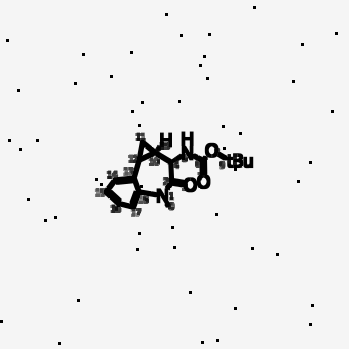 CN1C(=O)[C@H](NC(=O)OC(C)(C)C)[C@H]2CC2c2ccccc21